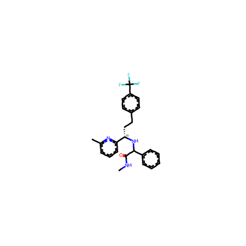 CNC(=O)C(N[C@@H](CCc1ccc(C(F)(F)F)cc1)c1cccc(C)n1)c1ccccc1